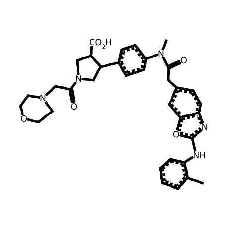 Cc1ccccc1Nc1nc2ccc(CC(=O)N(C)c3ccc(C4CN(C(=O)CN5CCOCC5)CC4C(=O)O)cc3)cc2o1